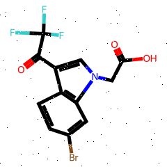 O=C(O)Cn1cc(C(=O)C(F)(F)F)c2ccc(Br)cc21